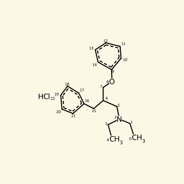 CCN(CC)CC(COc1ccccc1)Cc1ccccc1.Cl